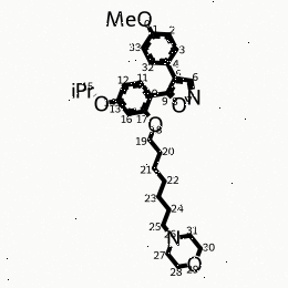 COc1ccc(-c2cnoc2-c2ccc(OC(C)C)cc2OCCCCCCCN2CCOCC2)cc1